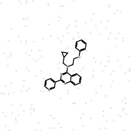 c1ccc(OCCN(CC2CC2)c2nc(-c3cccnc3)nc3ccccc23)cc1